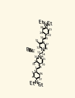 CCN(CC)c1ccc(/C=C/c2cc[n+](CC[n+]3ccc(/C=C/c4ccc(N(CC)CC)cc4)c(C)c3)cc2C)cc1.[Br-].[Br-]